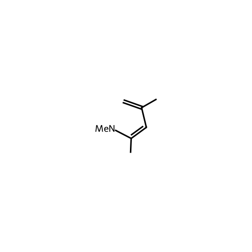 C=C(C)/C=C(/C)NC